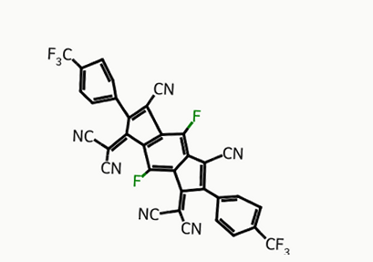 N#CC(C#N)=C1C(c2ccc(C(F)(F)F)cc2)=C(C#N)c2c(F)c3c(c(F)c21)C(=C(C#N)C#N)C(c1ccc(C(F)(F)F)cc1)=C3C#N